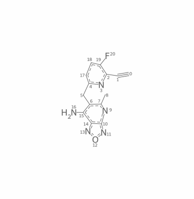 C#Cc1nc(Cc2c(C)nc3nonc3c2N)ccc1F